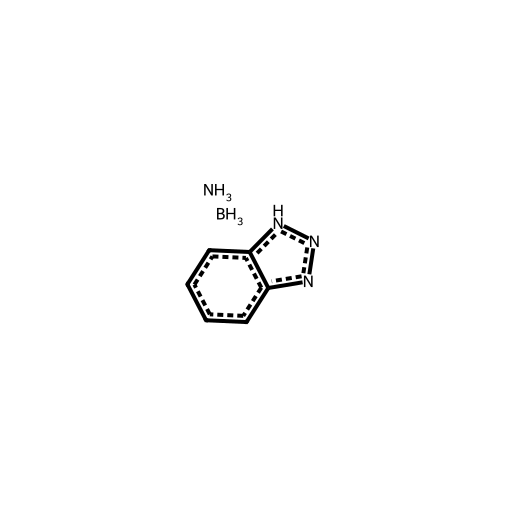 B.N.c1ccc2[nH]nnc2c1